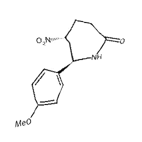 COc1ccc([C@@H]2NC(=O)CC[C@H]2[N+](=O)[O-])cc1